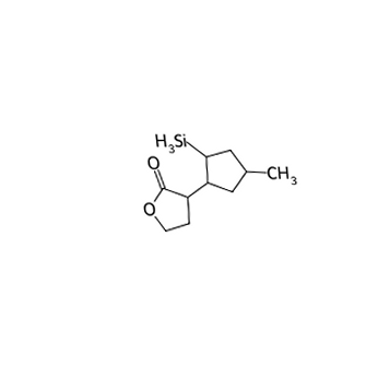 CC1CC([SiH3])C(C2CCOC2=O)C1